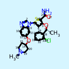 C[C@@H](Oc1cc(-n2cnc3ccc(OC4CCN(C)CC4)cc32)sc1C(N)=O)c1ccccc1Cl